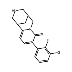 O=c1c(-c2cccc(Cl)c2F)ccc2n1CC1CNCC2C1